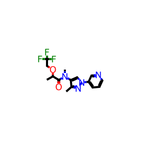 Cc1nn(-c2cccnc2)cc1N(C)C(=O)C(C)OCC(F)(F)F